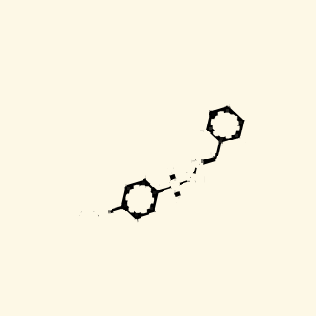 CC(=O)Nc1ccc(S(=O)(=O)NN=Cc2ccccc2)cc1